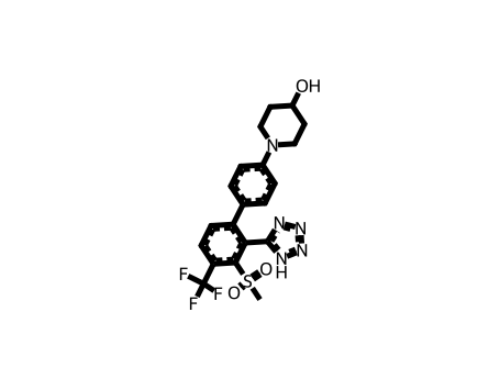 CS(=O)(=O)c1c(C(F)(F)F)ccc(-c2ccc(N3CCC(O)CC3)cc2)c1-c1nnn[nH]1